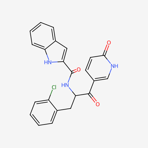 O=C(NC(Cc1ccccc1Cl)C(=O)c1ccc(=O)[nH]c1)c1cc2ccccc2[nH]1